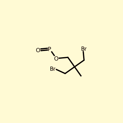 CC(CBr)(CBr)COP=O